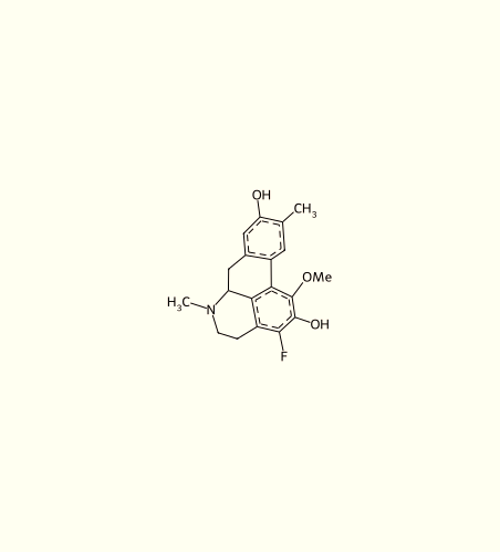 COc1c(O)c(F)c2c3c1-c1cc(C)c(O)cc1CC3N(C)CC2